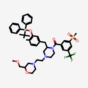 COCC1CN(CCN2CCN(C(=O)c3cc(C(F)(F)F)cc(S(C)(=O)=O)c3)C(Cc3ccc(C)c(O[Si](c4ccccc4)(c4ccccc4)C(C)(C)C)c3)C2)CCO1